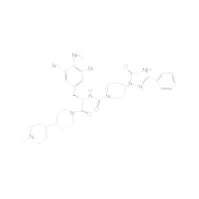 CN1CCC(C2CCN(C(=O)[C@@H](Cc3cc(Br)c(N)c(Br)c3)NC(=O)N3CCC(n4nc(-c5ccccc5)[nH]c4=O)CC3)CC2)CC1